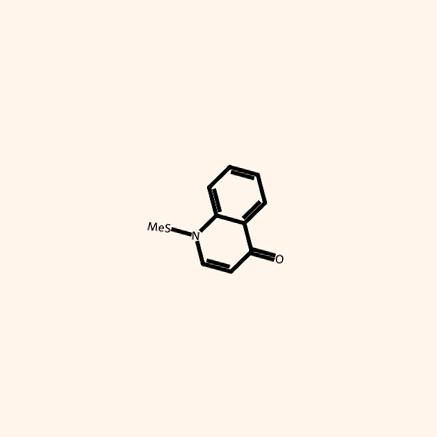 CSn1ccc(=O)c2ccccc21